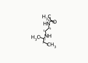 CCC(C)NCCNC(C)=O